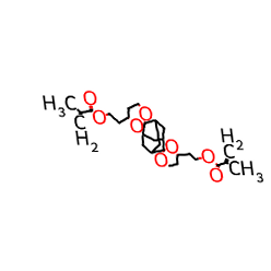 C=C(C)C(=O)OCCC1CCOC2(O1)C1CC3CC2CC(C1)C31OCCC(CCOC(=O)C(=C)C)O1